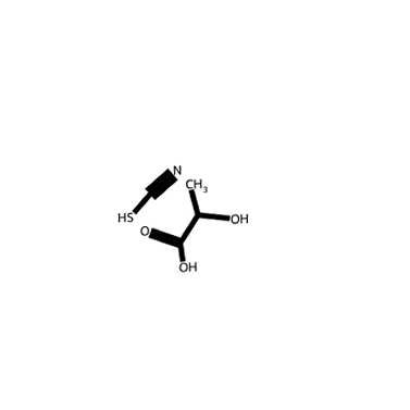 CC(O)C(=O)O.N#CS